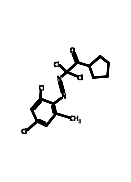 Cc1cc(Cl)cc(Cl)c1N=NC(Cl)(Cl)C(=O)C1CCCC1